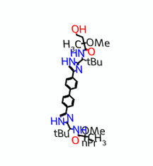 CCCC(C)(OC)C(=O)N[C@H](c1nc(-c2ccc(-c3ccc(-c4c[nH]c([C@@H](NC(=O)C(C)(CCO)OC)C(C)(C)C)n4)cc3)cc2)c[nH]1)C(C)(C)C